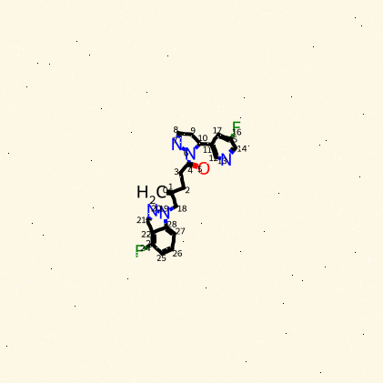 C=C(CCC(=O)N1N=CCC1c1cncc(F)c1)Cn1ncc2c(F)cccc21